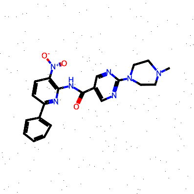 CN1CCN(c2ncc(C(=O)Nc3nc(-c4ccccc4)ccc3[N+](=O)[O-])cn2)CC1